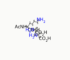 CC(=O)N[C@@H](CCCCN)C(=O)O.C[C@@H](N)C(=O)O.C[C@@H](N)C(=O)O